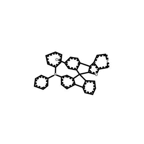 Clc1ccc2c(c1)C1(c3ccccc3-c3ccc(N(c4ccccc4)c4ccccc4)cc31)c1oc3ccccc3c1-2